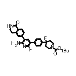 CC(C)(C)OC(=O)N1CCC(F)(c2ccc(-c3cc(-c4ccc5c(c4)CCNC5=O)c(N)nc3F)cc2)CC1